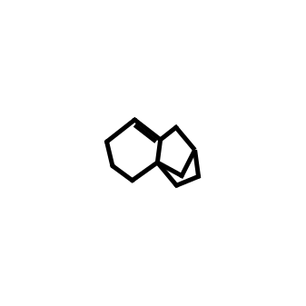 C1=C2CC3CCC2(CCC1)C3